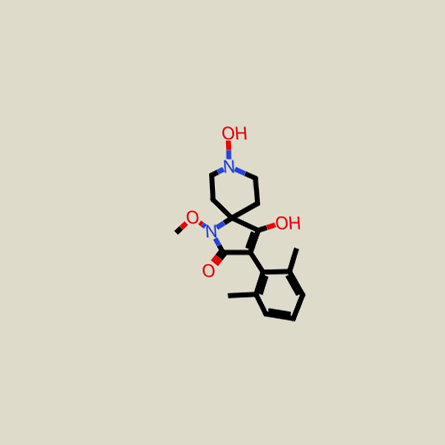 CON1C(=O)C(c2c(C)cccc2C)=C(O)C12CCN(O)CC2